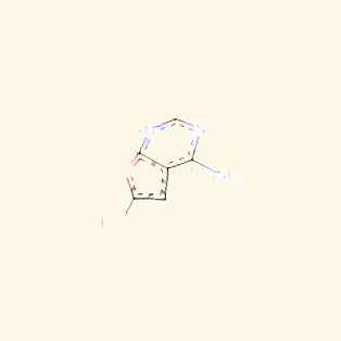 Cc1cc2c(N)ncnc2o1